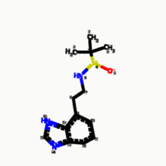 CC(C)(C)[S+]([O-])NCCc1cccc2nc[nH]c12